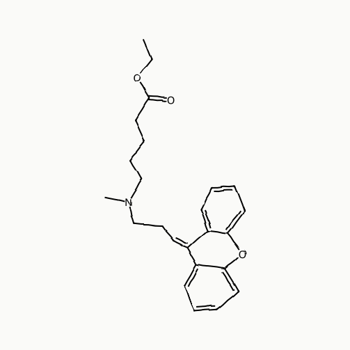 CCOC(=O)CCCCN(C)CCC=C1c2ccccc2Oc2ccccc21